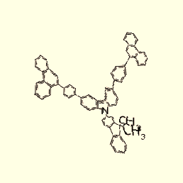 CC1(C)c2ccccc2-c2ccc(-n3c4ccc(-c5ccc(-c6cc7ccccc7c7ccccc67)cc5)cc4c4cc(-c5ccc(-c6cc7ccccc7c7ccccc67)cc5)ccc43)cc21